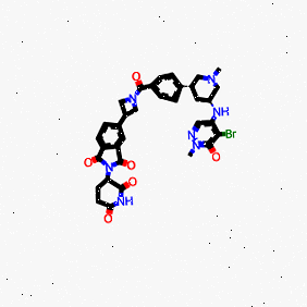 CN1C[C@H](Nc2cnn(C)c(=O)c2Br)C[C@H](c2ccc(C(=O)N3CC(c4ccc5c(c4)C(=O)N(C4CCC(=O)NC4=O)C5=O)C3)cc2)C1